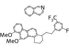 COc1cccc2c1c(OC)cc1c3c(ccc12)C(CCc1cc(F)cc(C(F)(F)F)c1)CCC3.c1ccc2cnccc2c1